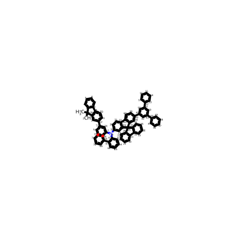 CC1(C)c2ccccc2-c2ccc(-c3cccc(N(c4ccc5c(c4)C4(c6ccccc6-c6ccccc64)c4cc(-c6cc(-c7ccccc7)cc(-c7ccccc7)c6)ccc4-5)c4ccccc4-c4ccccc4)c3)cc21